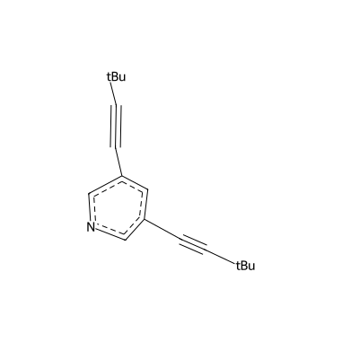 CC(C)(C)C#Cc1cncc(C#CC(C)(C)C)c1